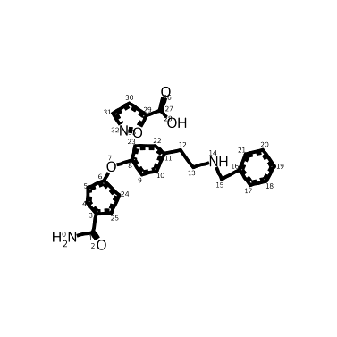 NC(=O)c1ccc(Oc2ccc(CCNCc3ccccc3)cc2)cc1.O=C(O)c1ccno1